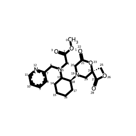 COC(=O)CN(Cc1ccccn1)C1CCCC[C@@H]1N1CC(=O)O[C@]2(COC2=O)C1